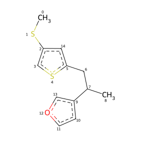 CSc1csc(CC(C)c2ccoc2)c1